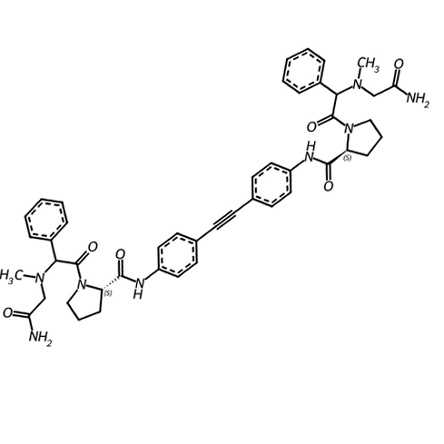 CN(CC(N)=O)C(C(=O)N1CCC[C@H]1C(=O)Nc1ccc(C#Cc2ccc(NC(=O)[C@@H]3CCCN3C(=O)C(c3ccccc3)N(C)CC(N)=O)cc2)cc1)c1ccccc1